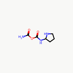 NC(=O)OC(=O)NC1CCCN1